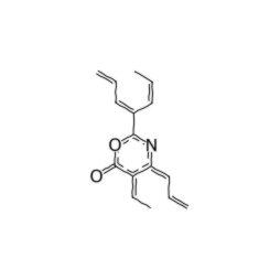 C=C/C=C(\C=C/C)c1nc(=C/C=C)/c(=C\C)c(=O)o1